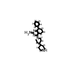 Nc1nc2c(c(N3CCC(C4CCNCC4)CC3)n1)CCCC2c1ccccc1